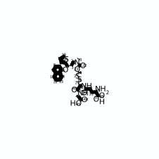 CN(CC[C@H](Oc1cccc2ccccc12)c1cccs1)C(=O)OCSSC[C@H](NC(=O)CC[C@H](N)C(=O)O)C(=O)NCC(=O)O